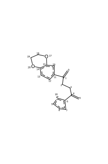 C=C(CCC(=C)c1cccs1)c1ccc2c(c1)OCCO2